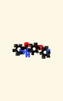 O=C(Nc1ccc(Oc2cccnc2)cc1)[C@@H]1CCCCN1